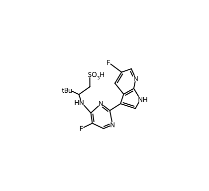 CC(C)(C)C(CS(=O)(=O)O)Nc1nc(-c2c[nH]c3ncc(F)cc23)ncc1F